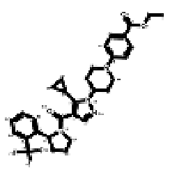 CCOC(=O)c1ccc(N2CCC(n3ncc(C(=O)N4CCCC4c4ccccc4C(F)(F)F)c3C3CC3)CC2)cc1